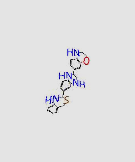 c1ccc2c(c1)CSC(c1ccc3c(c1)NCC(c1ccc4c(c1)OCCN4)N3)N2